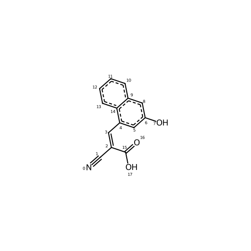 N#CC(=Cc1cc(O)cc2ccccc12)C(=O)O